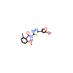 COc1cccc(C)c1C(=O)Nc1nnc(-c2coc(Br)c2)s1